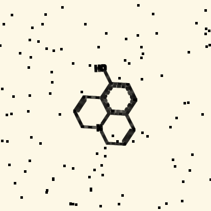 Oc1ccc2c3c1C=CCN3CC=C2